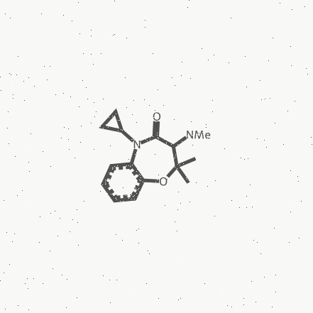 CNC1C(=O)N(C2CC2)c2ccccc2OC1(C)C